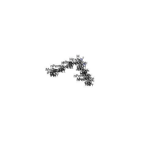 C/C=C/C(=O)NC(CC)C(OC)OC.C/C=C/C(=O)NC(CC)C(OCC)OCC.C=CC(=O)NC(CCCC)C(OCC)OCC.C=CC(=O)NC(CCCC)C(OCCC)OCCC.C=CC(=O)NC(CCCCC)C(OC)OC.C=CC(=O)NC(CCCCC)C(OCC)OCC.C=CC(=O)NC(CCCCC)C(OCCC)OCCC.C=CC(=O)NC(OC(C)C)(C(CCC)OC(C)C)C(OC)OC